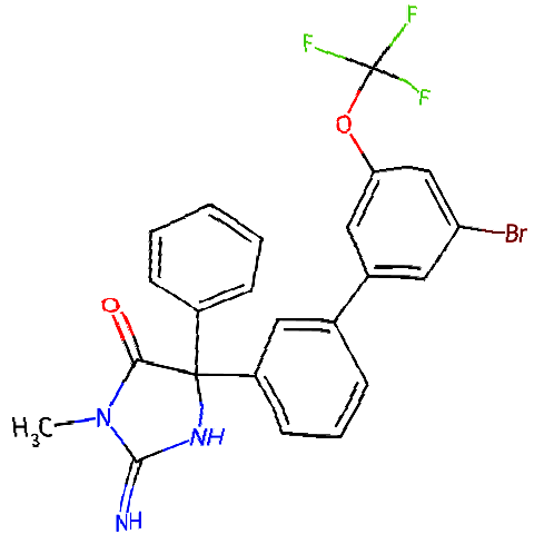 CN1C(=N)NC(c2ccccc2)(c2cccc(-c3cc(Br)cc(OC(F)(F)F)c3)c2)C1=O